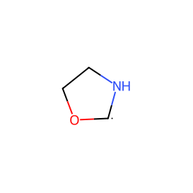 [CH]1NCCO1